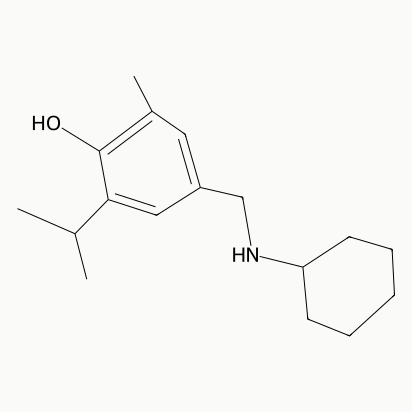 Cc1cc(CNC2CCCCC2)cc(C(C)C)c1O